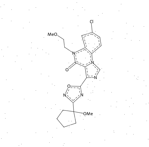 COCCn1c(=O)c2c(-c3nc(C4(OC)CCCC4)no3)ncn2c2ccc(Cl)cc21